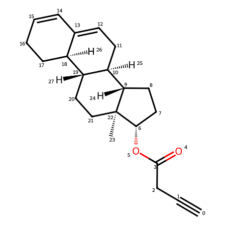 C#CCC(=O)O[C@H]1CC[C@H]2[C@@H]3CC=C4C=CCC[C@@H]4[C@H]3CC[C@]12C